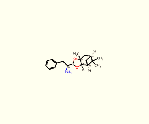 CC1(C)[C@H]2C[C@@H]1[C@@H]1OB([C@@H](N)Cc3ccccc3)O[C@]1(C)C2